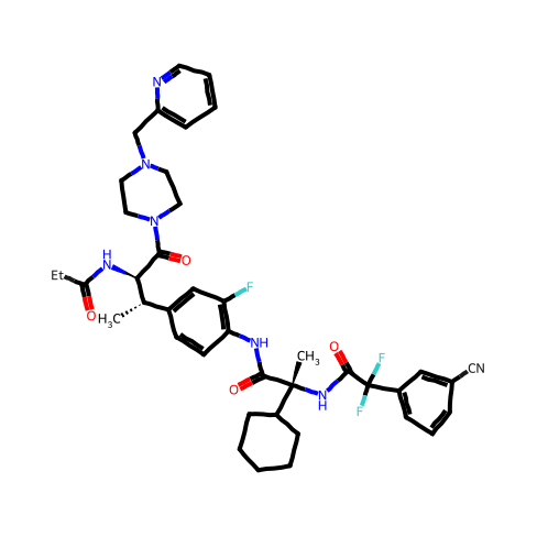 CCC(=O)N[C@@H](C(=O)N1CCN(Cc2ccccn2)CC1)[C@@H](C)c1ccc(NC(=O)[C@](C)(NC(=O)C(F)(F)c2cccc(C#N)c2)C2CCCCC2)c(F)c1